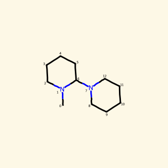 CN1CCCCC1N1CCCCC1